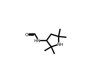 CC1(C)CC(NC=O)C(C)(C)N1